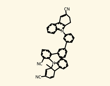 CC12C=C(C#N)C=CC1c1ccccc1N2c1c(C#N)cccc1-c1cccc(-c2cccc(-n3c4c(c5ccccc53)C=C(C#N)CC4)c2)c1